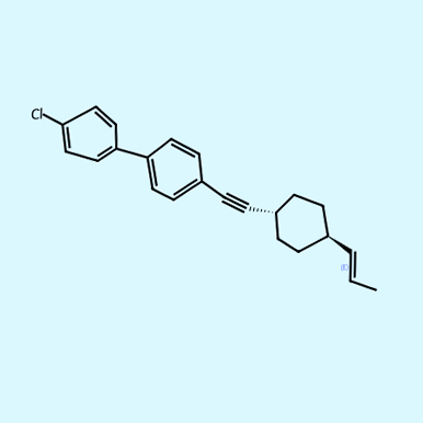 C/C=C/[C@H]1CC[C@H](C#Cc2ccc(-c3ccc(Cl)cc3)cc2)CC1